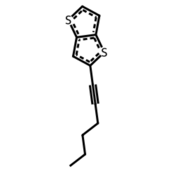 CCCCC#Cc1cc2sccc2s1